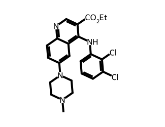 CCOC(=O)c1cnc2ccc(N3CCN(C)CC3)cc2c1Nc1cccc(Cl)c1Cl